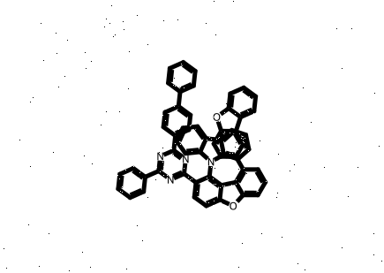 c1ccc(-c2ccc(-c3nc(-c4ccccc4)nc(-c4ccc5oc6cccc(-c7ccc8oc9ccccc9c8c7)c6c5c4-n4c5ccccc5c5ccccc54)n3)cc2)cc1